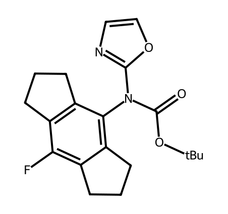 CC(C)(C)OC(=O)N(c1ncco1)c1c2c(c(F)c3c1CCC3)CCC2